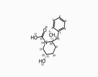 C[C@]1(Cc2ccccc2)CC[C@H](O)CN1C(=O)O